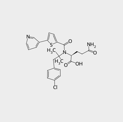 CC(C)(Cc1ccc(Cl)cc1)N(C(=O)c1ccc(-c2cccnc2)s1)[C@@H](CCC(N)=O)C(=O)O